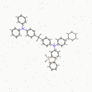 CC(C)(c1ccc(N(c2ccccc2)c2ccccc2)cc1)c1ccc(N(c2ccc(C3CCCCC3)cc2)c2ccc3c(c2)S(C)(C)c2ccccc2-3)cc1